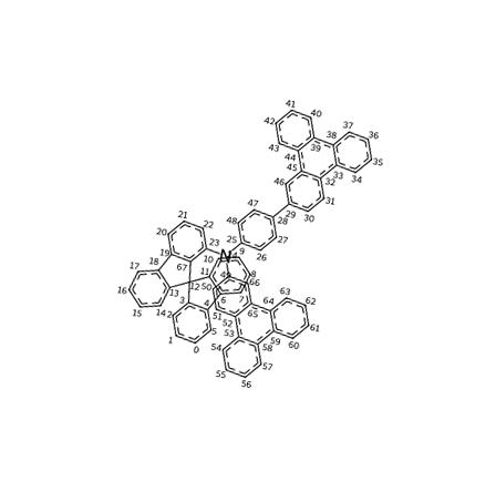 c1ccc2c(c1)-c1ccccc1C21c2ccccc2-c2cccc(N(c3ccc(-c4ccc5c6ccccc6c6ccccc6c5c4)cc3)c3ccc4c5ccccc5c5ccccc5c4c3)c21